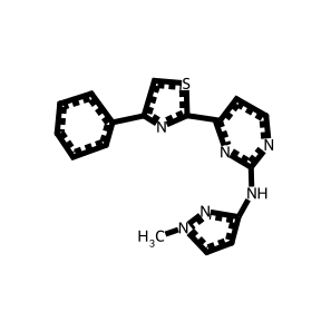 Cn1ccc(Nc2nccc(-c3nc(-c4ccccc4)cs3)n2)n1